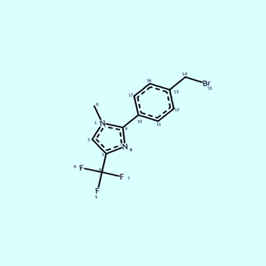 Cn1cc(C(F)(F)F)nc1-c1ccc(CBr)cc1